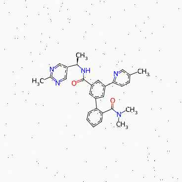 Cc1ccc(-c2cc(C(=O)N[C@H](C)c3cnc(C)nc3)cc(-c3ccccc3C(=O)N(C)C)c2)nc1